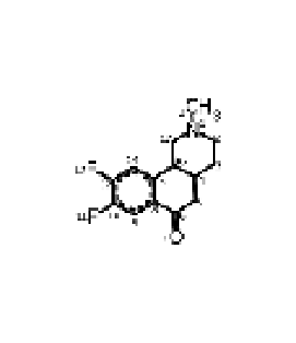 CN1CCC2CC(=O)c3cc(F)c(F)cc3C2C1